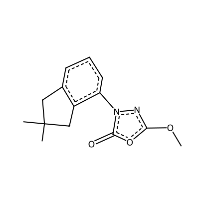 COc1nn(-c2cccc3c2CC(C)(C)C3)c(=O)o1